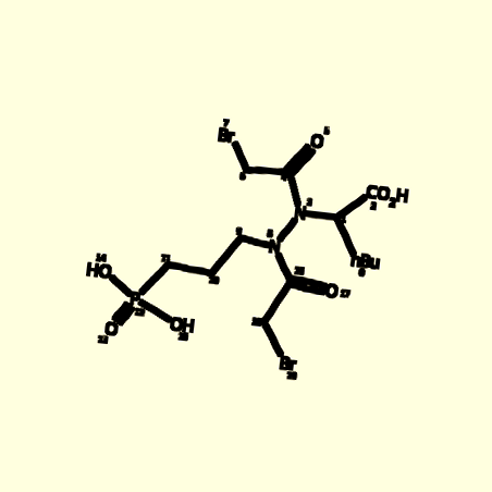 CCCCC(C(=O)O)N(C(=O)CBr)N(CCCP(=O)(O)O)C(=O)CBr